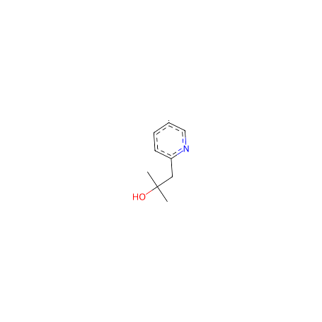 CC(C)(O)Cc1cc[c]cn1